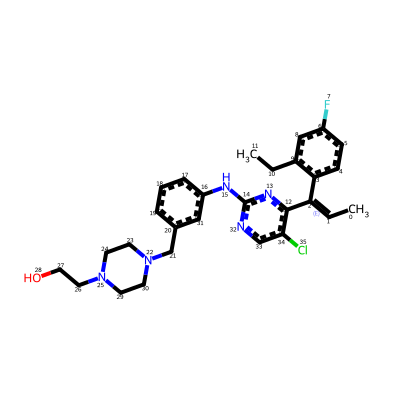 C/C=C(\c1ccc(F)cc1CC)c1nc(Nc2cccc(CN3CCN(CCO)CC3)c2)ncc1Cl